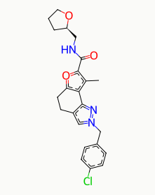 Cc1c(C(=O)NC[C@H]2CCCO2)oc2c1-c1nn(Cc3ccc(Cl)cc3)cc1CC2